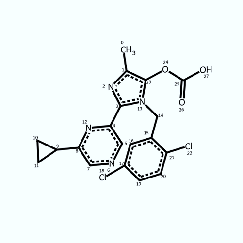 Cc1nc(-c2cncc(C3CC3)n2)n(Cc2cc(Cl)ccc2Cl)c1OC(=O)O